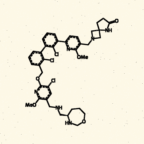 COc1nc(-c2cccc(-c3cccc(COc4nc(OC)c(CNC[C@H]5CCCOCN5)cc4Cl)c3Cl)c2Cl)ccc1CN1CC2(CCC(=O)N2)C1